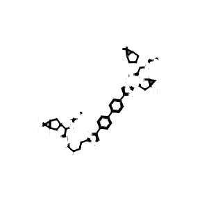 COC(=O)NC(C(=O)N1[C@@H]2C[C@@H]2C[C@H]1c1nc(-c2ccc(-c3ccc(-c4c[nH]c([C@@H](C)C[C@@H](C)[C@@H](C)OC(=O)C(NC(=O)OC)[C@]5(O)C[C@@H]6[C@H](C5)C6(F)F)n4)cc3)cc2)c[nH]1)[C@@H]1C[C@@H]2[C@H](C1)C2(F)F